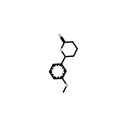 COc1cccc(C2CCCC(=O)S2)c1